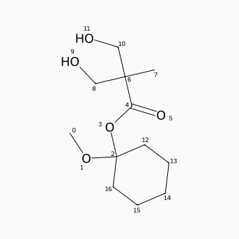 COC1(OC(=O)C(C)(CO)CO)CCCCC1